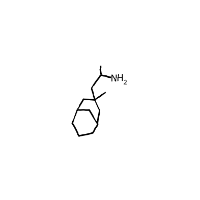 CC(N)CC1(C)CC2CCCC(C2)C1